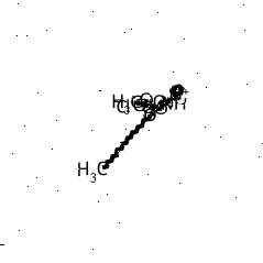 CCCCCCCCCCCCCCCCCCOC[C@H](COC(=O)OC)OC(=O)NCC[n+]1ccccc1.[Cl-]